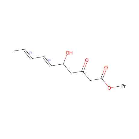 C/C=C/C=C/C(O)CC(=O)CC(=O)OC(C)C